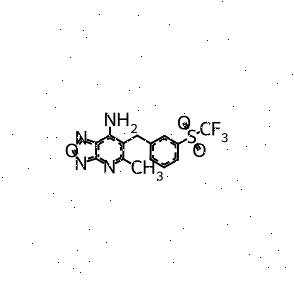 Cc1nc2nonc2c(N)c1Cc1cccc(S(=O)(=O)C(F)(F)F)c1